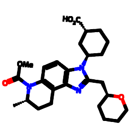 COC(=O)N1c2ccc3c(nc(C[C@@H]4CCCCO4)n3[C@@H]3CCC[C@@H](C(=O)O)C3)c2CC[C@@H]1C